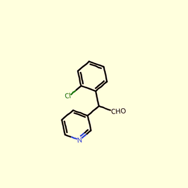 O=CC(c1cccnc1)c1ccccc1Cl